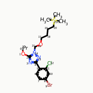 CC(C)Oc1nc(-c2ccc(Br)cc2Cl)nn1COCCCCS(C)(C)C